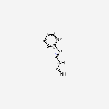 N=CN/C=N/c1ccccn1